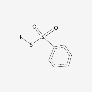 O=S(=O)(SI)c1ccccc1